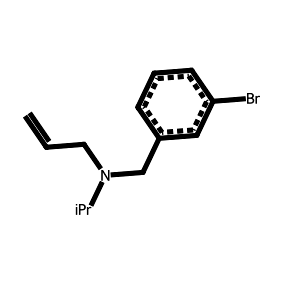 C=CCN(Cc1cccc(Br)c1)C(C)C